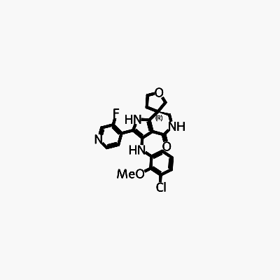 COc1c(Cl)cccc1Nc1c(-c2ccncc2F)[nH]c2c1C(=O)NC[C@]21CCOC1